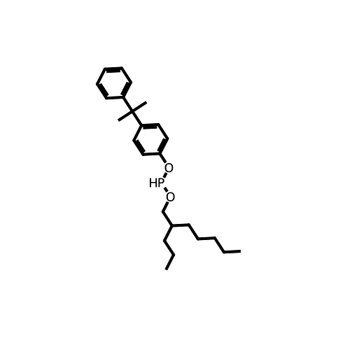 CCCCCC(CCC)COPOc1ccc(C(C)(C)c2ccccc2)cc1